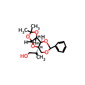 C=C(CO)[C@@]12COC(c3ccccc3)O[C@@H]1[C@H]1OC(C)(C)O[C@H]1O2